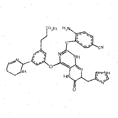 CCOC(=O)CCc1cc(OC2=C3NC(=O)C(Cc4c[nH]cn4)N=C3NC(Oc3cc(C#N)ccc3N)=N2)cc(C2N=CCCN2)c1